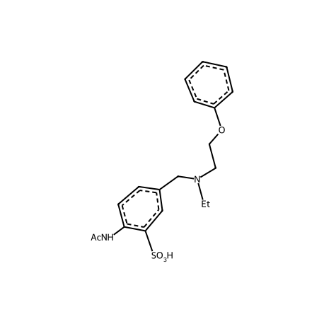 CCN(CCOc1ccccc1)Cc1ccc(NC(C)=O)c(S(=O)(=O)O)c1